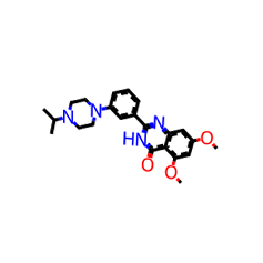 COc1cc(OC)c2c(=O)[nH]c(-c3cccc(N4CCN(C(C)C)CC4)c3)nc2c1